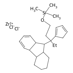 CCC(CCO[Si](C)(C)C)(C1=CC=CC1)C1C2C=CC=CC2C2CCCCC21.[Cl-].[Cl-].[Zr+2]